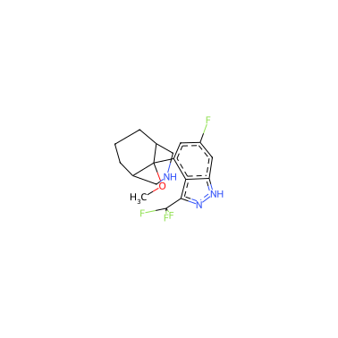 COC1(c2cc(F)cc3[nH]nc(C(F)(F)F)c23)C2CCCC1CNC2